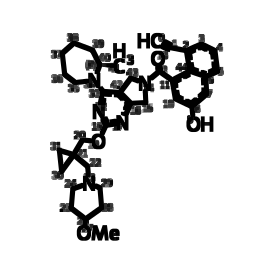 C#Cc1cccc2cc(O)cc(C(=O)N3Cc4nc(OCC5(CN6CCC(OC)CC6)CC5)nc(N5CCCCC[C@H]5C)c4C3)c12